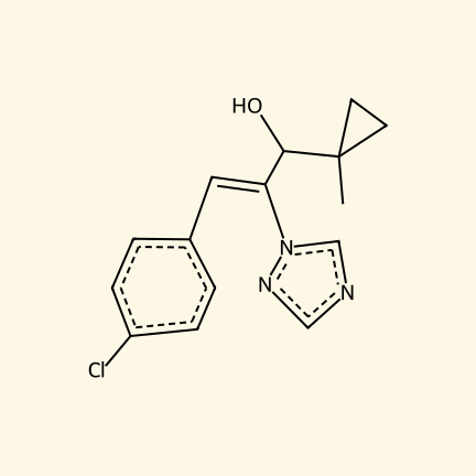 CC1(C(O)C(=Cc2ccc(Cl)cc2)n2cncn2)CC1